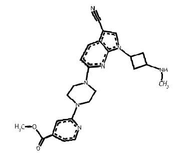 CNC1CC(n2cc(C#N)c3ccc(N4CCN(c5cc(C(=O)OC)ccn5)CC4)nc32)C1